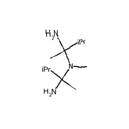 CC(C)C(C)(N)N(C)C(C)(N)C(C)C